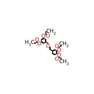 C=CC(=O)Oc1cc(CO/C=C/c2ccc(OC(=O)C=C)c(OC(=O)C=C)c2)cc(OC(=O)C=C)c1